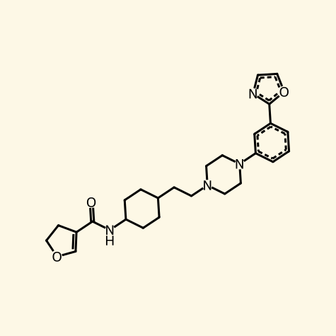 O=C(NC1CCC(CCN2CCN(c3cccc(-c4ncco4)c3)CC2)CC1)C1=COCC1